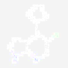 Clc1cnc2[nH]ccc2c1C1=C=CC=C1